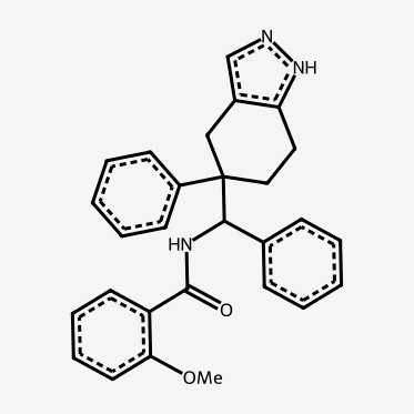 COc1ccccc1C(=O)NC(c1ccccc1)C1(c2ccccc2)CCc2[nH]ncc2C1